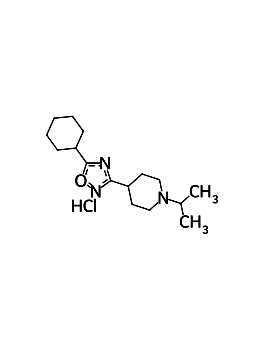 CC(C)N1CCC(c2noc(C3CCCCC3)n2)CC1.Cl